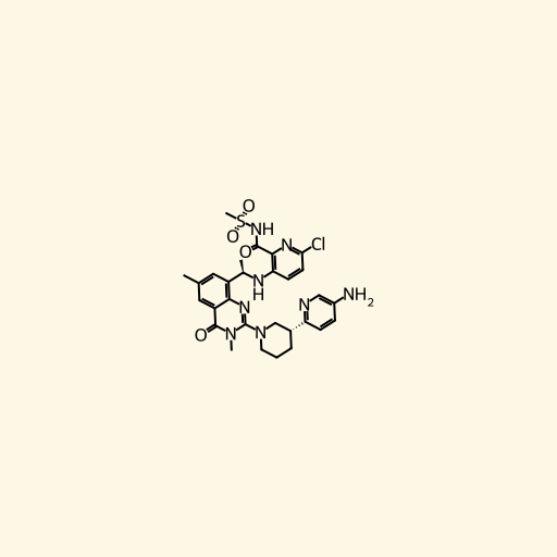 Cc1cc([C@@H](C)Nc2ccc(Cl)nc2C(=O)NS(C)(=O)=O)c2nc(N3CCC[C@@H](c4ccc(N)cn4)C3)n(C)c(=O)c2c1